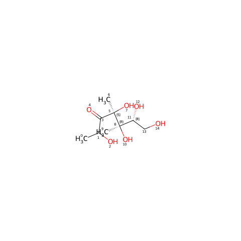 CC(O)C(=O)[C@@](C)(O)[C@](C)(O)[C@H](O)CO